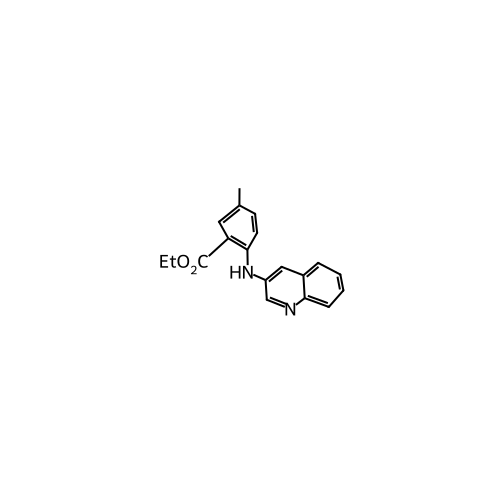 CCOC(=O)c1cc(C)ccc1Nc1cnc2ccccc2c1